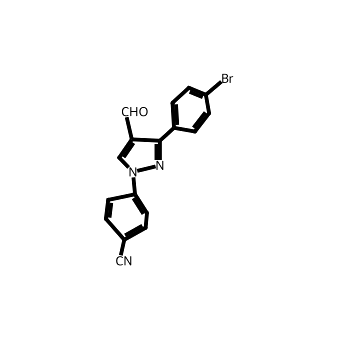 N#Cc1ccc(-n2cc(C=O)c(-c3ccc(Br)cc3)n2)cc1